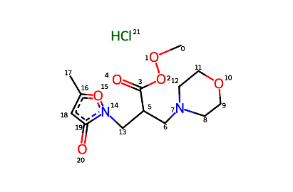 COOC(=O)C(CN1CCOCC1)Cn1oc(C)cc1=O.Cl